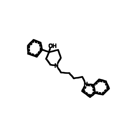 OC1(c2ccccc2)CCN(CCCCn2ccc3ccccc32)CC1